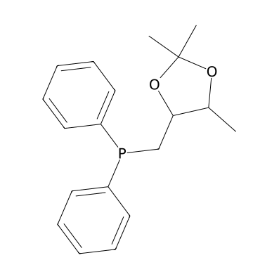 CC1OC(C)(C)OC1CP(c1ccccc1)c1ccccc1